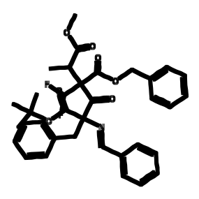 COC(=O)C(C)C(C(=O)OCc1ccccc1)(C(=O)C(Cc1ccccc1)(/N=C/c1ccccc1)C(=O)OC(C)(C)C)C(F)F